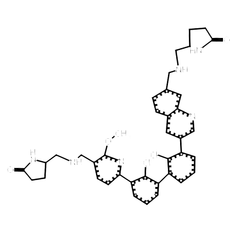 COc1nc(-c2cccc(-c3cccc(-c4cnc5cc(CNCC6CCC(=O)N6)ccc5c4)c3Cl)c2Cl)ccc1CNCC1CCC(=O)N1